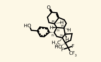 C[C@]12C[C@H](c3ccc(CO)cc3)[C@H]3[C@@H](CCC4=CC(=O)CC[C@@H]43)[C@@H]1CC[C@@]2(O)C(F)(F)C(F)(F)F